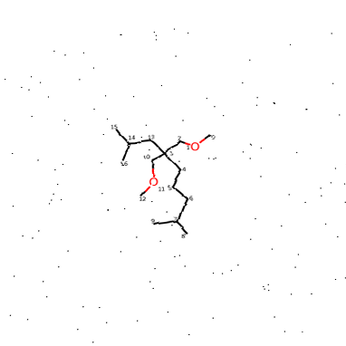 COCC(CCCC(C)C)(COC)CC(C)C